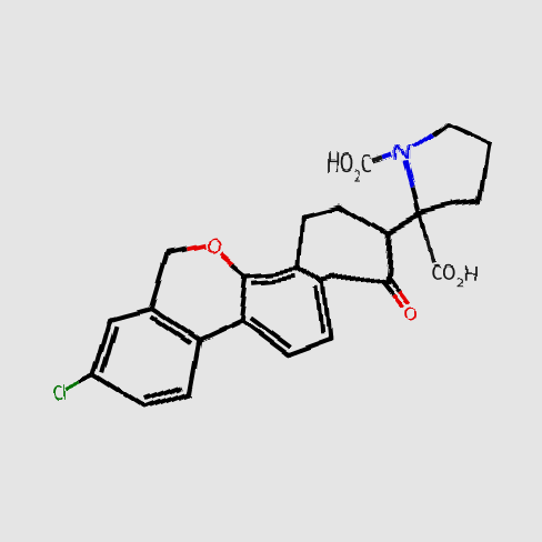 O=C1c2ccc3c(c2CCC1C1(C(=O)O)CCCN1C(=O)O)OCc1cc(Cl)ccc1-3